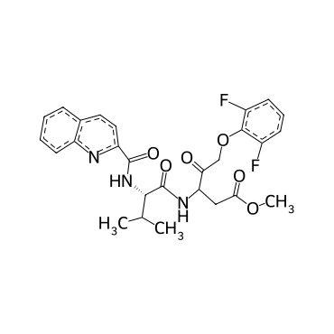 COC(=O)CC(NC(=O)[C@@H](NC(=O)c1ccc2ccccc2n1)C(C)C)C(=O)COc1c(F)cccc1F